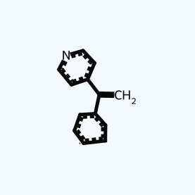 C=C(c1cc[c]cc1)c1ccncc1